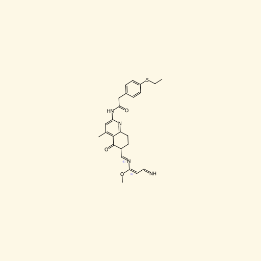 CCSc1ccc(CC(=O)Nc2cc(C)c3c(n2)CCC(/C=N/C(=C\C=N)OC)C3=O)cc1